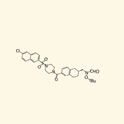 CC(C)(C)ON(C=O)C[C@H]1CCc2cc(C(=O)N3CCN(S(=O)(=O)c4ccc5cc(Cl)ccc5c4)CC3)ccc2C1